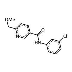 COCc1ccc(C(=O)Nc2cccc(Cl)c2)cn1